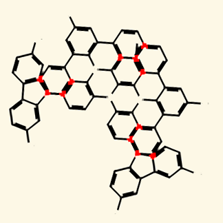 Cc1cc2c3c(c1)N(c1c(-c4ccccc4)cc(C(C)(C)C)cc1-c1ccccc1)c1cc(-n4c5cc(C(C)(C)C)ccc5c5ccc(C(C)(C)C)cc54)ccc1B3c1ccc(-n3c4ccc(C(C)(C)C)cc4c4cc(C(C)(C)C)ccc43)cc1N2c1c(-c2ccccc2)cc(C(C)(C)C)cc1-c1ccccc1